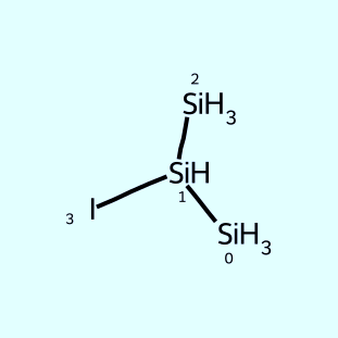 [SiH3][SiH]([SiH3])I